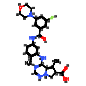 CC1=C2C(Nc3cc(NC(=O)c4cc(F)cc(N5CCOCC5)c4)ccc3C)=NC=NN2CC1C(=O)O